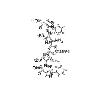 COC(=O)c1cnn(-c2ccccc2)c1/N=N/c1c(C(C)(C)C)nn(-c2nc(OC)nc(-n3nc(C(C)(C)C)c(/N=N/c4c(C(=O)CO)cnn4-c4ccccc4)c3N)n2)c1N